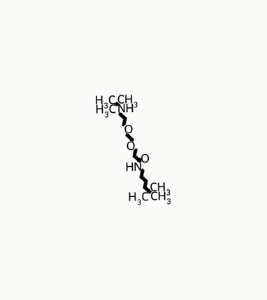 CC(C)(C)CCCCNC(=O)CCOCCOCCCNC(C)(C)C